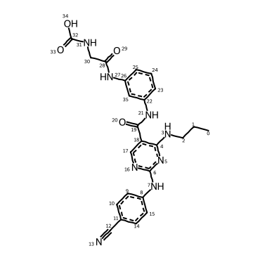 CCCNc1nc(Nc2ccc(C#N)cc2)ncc1C(=O)Nc1cccc(NC(=O)CNC(=O)O)c1